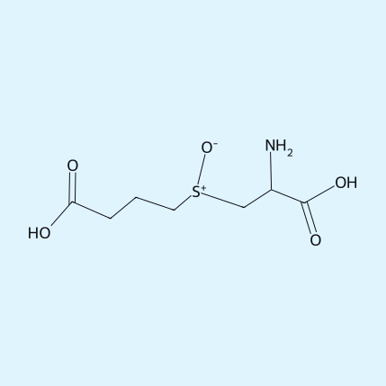 NC(C[S+]([O-])CCCC(=O)O)C(=O)O